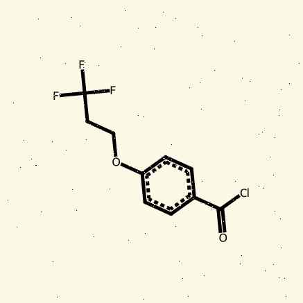 O=C(Cl)c1ccc(OCCC(F)(F)F)cc1